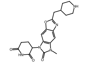 Cn1c(=O)n(C2CCC(=O)NC2=O)c2cc3oc(CC4CCNCC4)nc3cc21